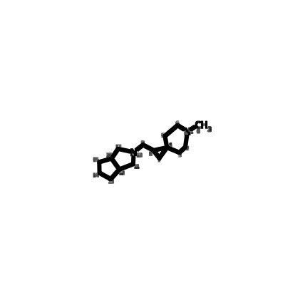 CN1CCC2(CC1)CC2CN1CC2CCCC2C1